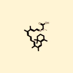 CC(=CC=CC=C(C)C(C)=CC1=C(C)CCCC1(C)C)C(C)=CC=N[C@@H](C)C(=O)O